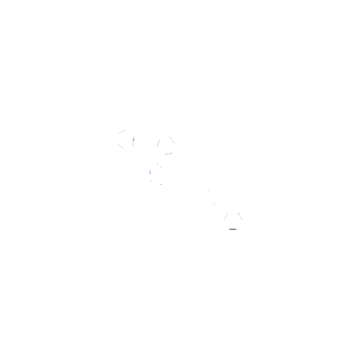 O=C(CCCCc1nnc(SCc2ccccc2)n1-c1ccccc1)NCc1ccccc1